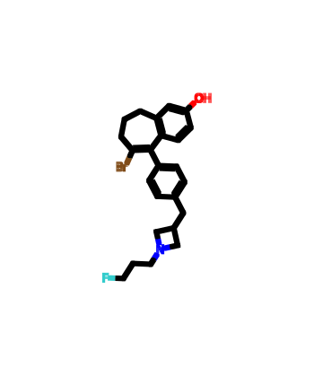 Oc1ccc2c(c1)CCCC(Br)=C2c1ccc(CC2CN(CCCF)C2)cc1